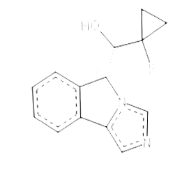 OC([C@H]1c2ccccc2-c2cncn21)C1(F)CC1